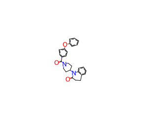 O=C(c1ccc(Oc2ccccc2)cc1)N1CCC(N2C(=O)CCc3ccccc32)CC1